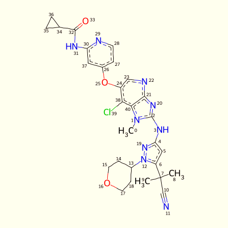 Cn1c(Nc2cc(C(C)(C)C#N)n(C3CCOCC3)n2)nc2ncc(Oc3ccnc(NC(=O)C4CC4)c3)c(Cl)c21